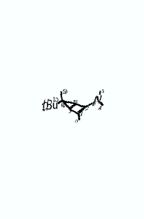 CC1=C(N(C)C)C2C1C2(C)C(C)(C)C